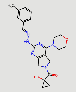 Cc1cccc(/C=N/Nc2nc3c(c(N4CCOCC4)n2)CN(C(=O)C2(O)CC2)C3)c1